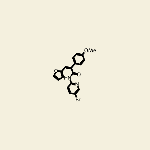 COc1ccc(C(=Cc2ccco2)C(=O)Nc2ccc(Br)cn2)cc1